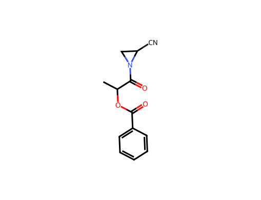 CC(OC(=O)c1ccccc1)C(=O)N1CC1C#N